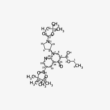 CCOC(=O)c1cn([C@H]2CCN(C(=O)OC(C)(C)C)C2)c2ncc(B3OC(C)(C)C(C)(C)O3)cc2c1=O